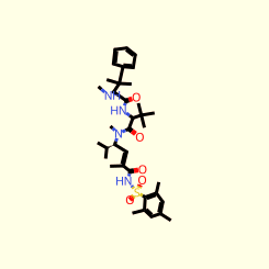 CN[C@H](C(=O)NC(C(=O)N(C)[C@H](/C=C(\C)C(=O)NS(=O)(=O)c1c(C)cc(C)cc1C)C(C)C)C(C)(C)C)C(C)(C)c1ccccc1